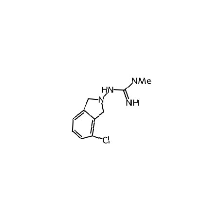 CNC(=N)NN1Cc2cccc(Cl)c2C1